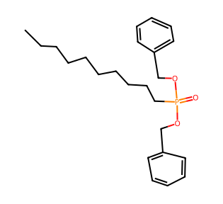 CCCCCCCCCCP(=O)(OCc1ccccc1)OCc1ccccc1